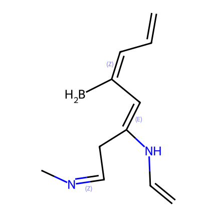 BC(=C/C=C)/C=C(\C/C=N\C)NC=C